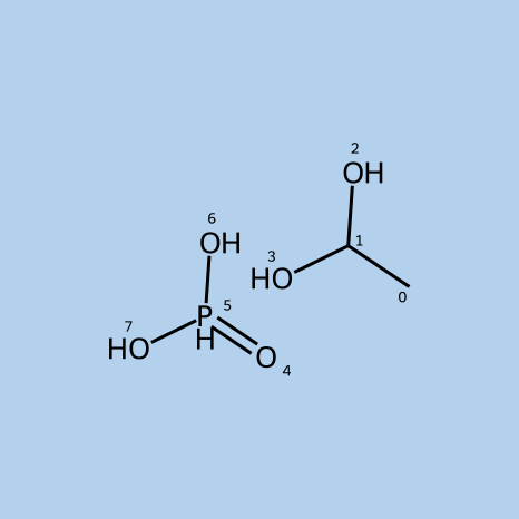 CC(O)O.O=[PH](O)O